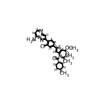 COC(=O)c1sc(-c2ccc(-c3cc4nccc(N)n4n3)c(Cl)c2)cc1N(C(=O)[C@H]1CC[C@H](C)CC1)C(C)C